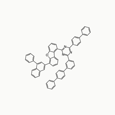 c1ccc(-c2ccc(-c3cccc(-c4nc(-c5ccc(-c6ccccc6)cc5)nc(-c5cccc6oc7c(-c8cc(-c9ccccc9)c9ccccc9c8)cccc7c56)n4)c3)cc2)cc1